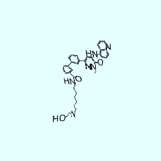 CCn1nc(-c2cccc(-c3cccc(C(=O)NCCCCCCCN(C)CCO)c3)c2)cc(Nc2cccc3ncccc23)c1=O